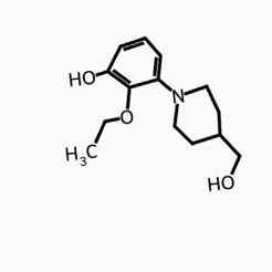 CCOc1c(O)cccc1N1CCC(CO)CC1